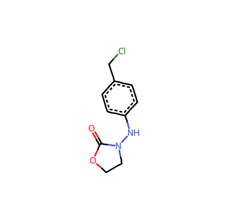 O=C1OCCN1Nc1ccc(CCl)cc1